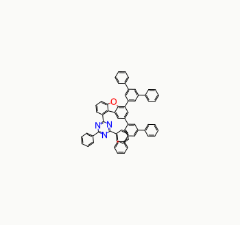 c1ccc(-c2cc(-c3ccccc3)cc(-c3cc(-c4cc(-c5ccccc5)cc(-c5ccccc5)c4)c4oc5cccc(-c6nc(-c7ccccc7)nc(-c7ccccc7)n6)c5c4c3)c2)cc1